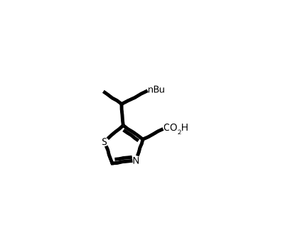 CCCCC(C)c1scnc1C(=O)O